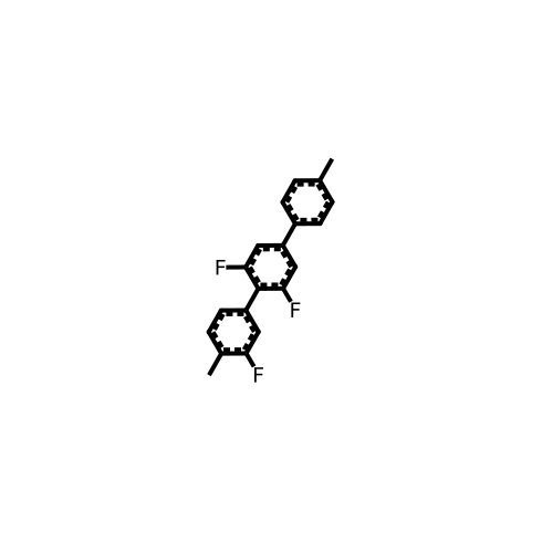 Cc1ccc(-c2cc(F)c(-c3ccc(C)c(F)c3)c(F)c2)cc1